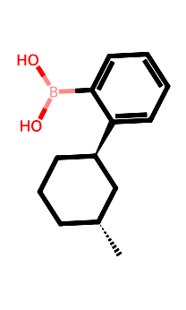 C[C@@H]1CCC[C@@H](c2ccccc2B(O)O)C1